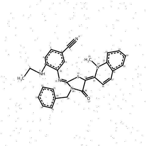 CCNc1ccc(C#N)cc1N=C1SC(=C2C=Cc3ccccc3N2C)C(=O)N1Cc1ccccc1